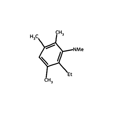 CCc1c(C)cc(C)c(C)c1NC